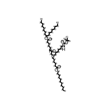 CCCCCCCCCCCOC(=O)CCCCCN(CCCCCCCC(=O)OC(CCCCCCCC)CCCCCCCC)CC(O)CCCCNC(=O)OC(C)(C)C